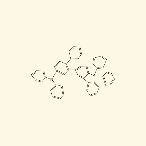 c1ccc(-c2ccc(N(c3ccccc3)c3ccccc3)cc2-c2ccc3c(c2)-c2ccccc2C3(c2ccccc2)c2ccccc2)cc1